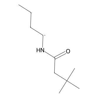 CCC[CH]NC(=O)CC(C)(C)C